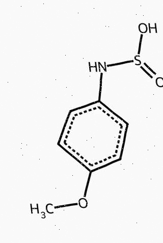 COc1ccc(NS(=O)O)cc1